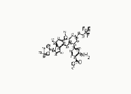 COC(=O)c1ccc(C2CN(CCC(F)(F)F)CCN2Cc2c(OC)cc(C)c3c2ccn3C(=O)OC(C)(C)C)nc1N